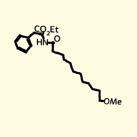 CCOC(=O)[C@H](Cc1ccccc1)NC(=O)CCCCCCCCCCCOC